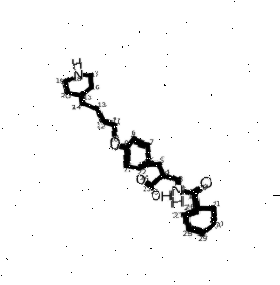 O=C(NCC(Cc1ccc(OCCCCC2CCNCC2)cc1)C(=O)O)c1ccccc1